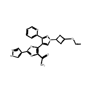 CCOC1CC(n2cc(-c3oc(-c4cn[nH]c4)nc3C(N)=O)c(-c3ccccn3)n2)C1